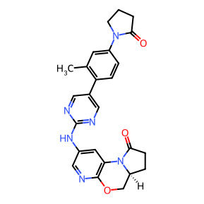 Cc1cc(N2CCCC2=O)ccc1-c1cnc(Nc2cnc3c(c2)N2C(=O)CC[C@H]2CO3)nc1